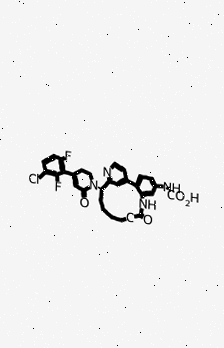 O=C(O)Nc1ccc2c(c1)NC(=O)CCCCC[C@H](N1CCC(c3c(F)ccc(Cl)c3F)=CC1=O)c1cc-2ccn1